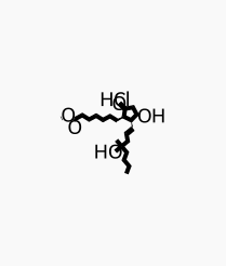 CCCCC(C)(O)C/C=C/[C@H]1[C@H](O)CC(=O)[C@@H]1CCCCCCC(=O)OC.Cl